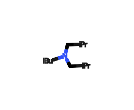 CCC(C)N(CC(C)C)CC(C)C